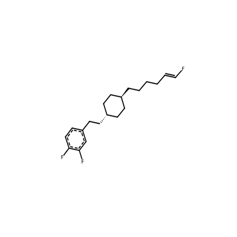 FC=CCCCC[C@H]1CC[C@H](CCc2ccc(F)c(F)c2)CC1